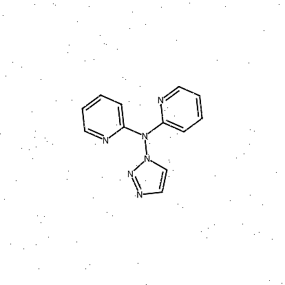 c1ccc(N(c2ccccn2)n2ccnn2)nc1